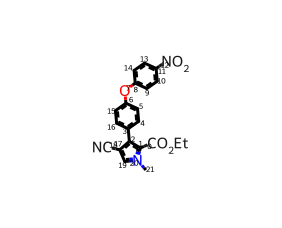 CCOC(=O)c1c(-c2ccc(Oc3ccc([N+](=O)[O-])cc3)cc2)c(C#N)cn1C